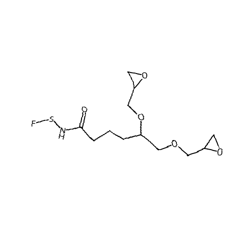 O=C(CCCC(COCC1CO1)OCC1CO1)NSF